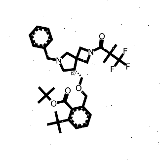 CC(C)(C)OC(=O)c1c(COC[C@@H]2CN(Cc3ccccc3)CC23CN(C(=O)C(C)(C)C(F)(F)F)C3)cccc1C(C)(C)C